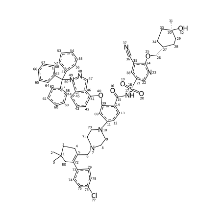 CC1(C)CCC(CN2CCN(c3ccc(C(=O)NS(=O)(=O)c4cnc(OC[C@H]5CC[C@](C)(O)CC5)c(C#N)c4)c(Oc4cccc5c4cnn5C(c4ccccc4)(c4ccccc4)c4ccccc4)c3)CC2)=C(c2ccc(Cl)cc2)C1